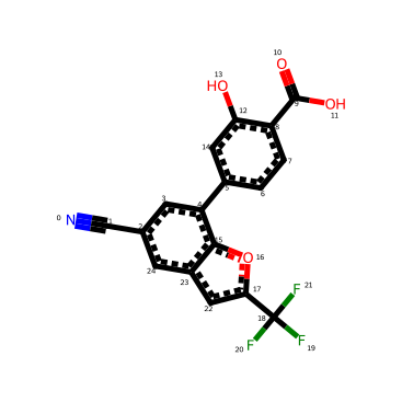 N#Cc1cc(-c2ccc(C(=O)O)c(O)c2)c2oc(C(F)(F)F)cc2c1